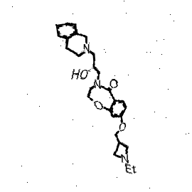 CCN1CC(COc2ccc3c(c2)OCCN(C[C@H](O)CN2CCc4ccccc4C2)C3=O)C1